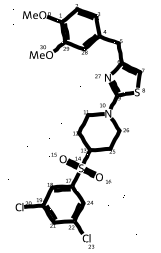 COc1ccc(Cc2csc(N3CCC(S(=O)(=O)c4cc(Cl)cc(Cl)c4)CC3)n2)cc1OC